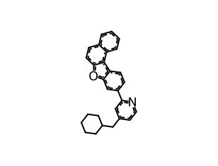 c1ccc2c(c1)ccc1oc3cc(-c4cc(CC5CCCCC5)ccn4)ccc3c12